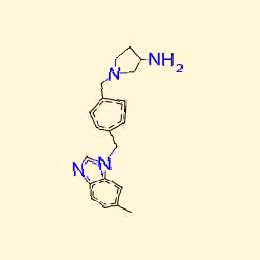 Cc1ccc2ncn(Cc3ccc(CN4CCC(N)C4)cc3)c2c1